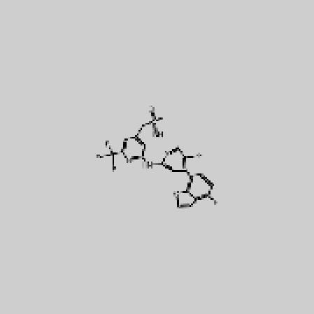 CS(=N)(=O)Cc1cc(Nc2cc(-c3ccc(F)c4ccoc34)c(F)cn2)nc(C(F)(F)F)c1